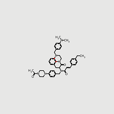 CCc1ccc(C=CC(=O)N(Cc2ccc(N3CCN(C(C)=O)CC3)cc2)C(Cc2ccccc2)C(=O)N2CCN(Cc3ccc(N(C)C)cc3)CC2)cc1